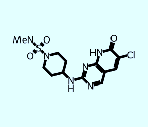 CNS(=O)(=O)N1CCC(Nc2ncc3cc(Cl)c(=O)[nH]c3n2)CC1